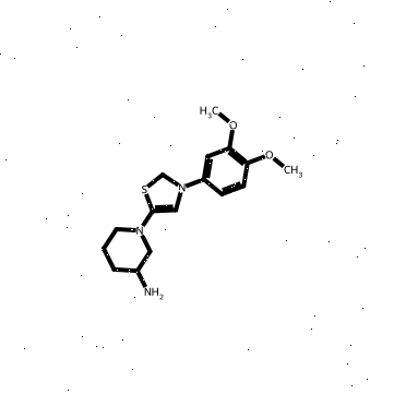 COc1ccc(N2C=C(N3CCCC(N)C3)SC2)cc1OC